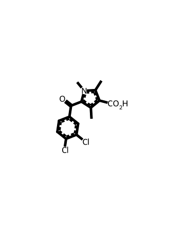 Cc1c(C(=O)O)c(C)n(C)c1C(=O)c1ccc(Cl)c(Cl)c1